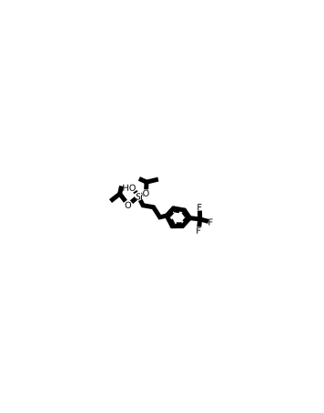 CC(C)O[Si](O)(CCCc1ccc(C(F)(F)F)cc1)OC(C)C